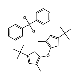 CC1=[C]([Zr][C]2=C(C)C=C(C(C)(C)C)C2)CC(C(C)(C)C)=C1.Cl[Si](Cl)(c1ccccc1)c1ccccc1